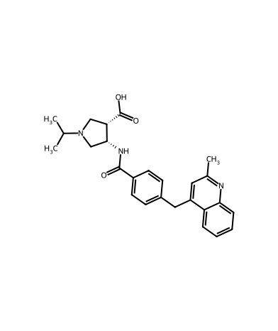 Cc1cc(Cc2ccc(C(=O)N[C@@H]3CN(C(C)C)C[C@@H]3C(=O)O)cc2)c2ccccc2n1